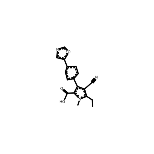 CCc1c(C#N)c(-c2ccc(-c3cnco3)cc2)c(C(=O)O)n1C